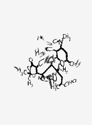 CO[C@](C)(C[C@@H](C)C=O)[C@H](O[C@@H]1OC(C)CC(N(C)C)C1C)[C@@H](C)C1=C(C)C(=O)OC(C)(C)O1